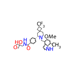 COc1cc(C)c2[nH]ccc2c1CN1CCC2(CC(C(F)(F)F)C2)C[C@H]1c1ccc(C(=O)NCC2(O)COC2)cc1